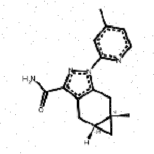 Cc1ccnc(-n2nc(C(N)=O)c3c2C[C@]2(C)C[C@@H]2C3)c1